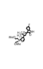 COCCN(CCOC)c1cc(C2=C/C(=C3\C(=O)Nc4cc(F)ccc43)OC2(C)C)ccn1